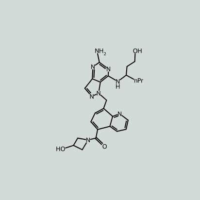 CCCC(CCO)Nc1nc(N)nc2cnn(Cc3ccc(C(=O)N4CC(O)C4)c4cccnc34)c12